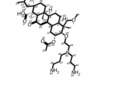 COC[C@@]1(C)[C@@H]2CC[C@H]3C(=CC(=O)[C@@]4(C)[C@H](C(=O)O)[C@@](C)([C@H](C)C(C)C)CC[C@]34C)C2C[C@@H](OC(C)=O)[C@@H]1OCCN(CCCN)CCCN